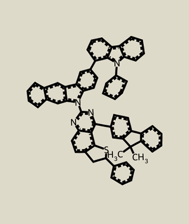 CC1(C)c2ccccc2-c2ccc(-c3nc(-n4c5ccc(-c6cccc7c8ccccc8n(-c8ccccc8)c67)cc5c5cc6ccccc6cc54)nc4ccc5c(c34)SC(c3ccccc3)C5)cc21